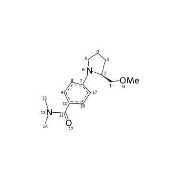 COC[C@@H]1CCCN1c1ccc(C(=O)N(C)C)cc1